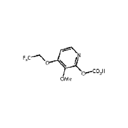 COc1c(OCC(F)(F)F)ccnc1OC(=O)O